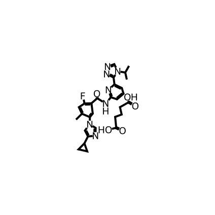 Cc1cc(F)c(C(=O)Nc2cccc(-c3nncn3C(C)C)n2)cc1-n1cnc(C2CC2)c1.O=C(O)CCCC(=O)O